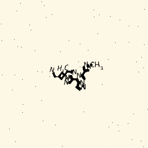 C[C@@H](C#N)[C@]1(n2cc(-c3nc(-c4cnn(C)c4)cn4nccc34)cn2)C[C@@H](CC#N)C1